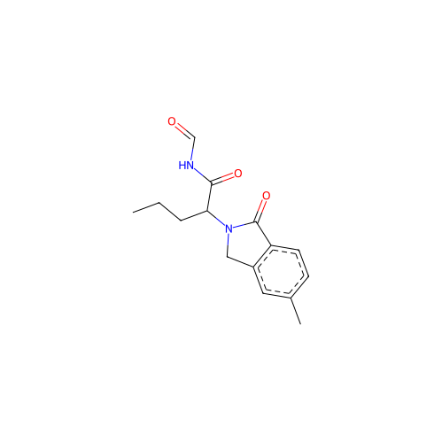 CCCC(C(=O)NC=O)N1Cc2cc(C)ccc2C1=O